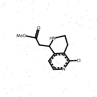 COC(=O)CC1NCCc2c1ccnc2Cl